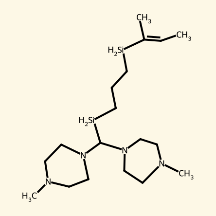 CC=C(C)[SiH2]CCC[SiH2]C(N1CCN(C)CC1)N1CCN(C)CC1